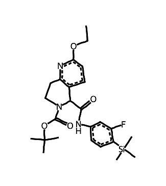 CCOc1ccc2c(n1)CCN(C(=O)OC(C)(C)C)C2C(=O)Nc1ccc([Si](C)(C)C)c(F)c1